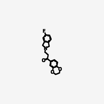 O=C(CCN1Cc2ccc(F)cc2C1)c1ccc2c(c1)OCCO2